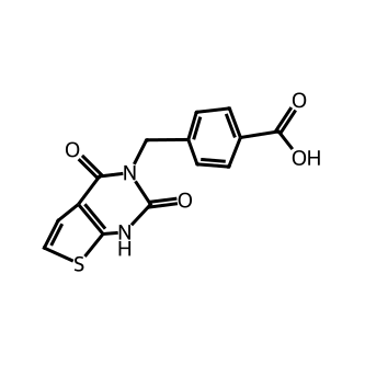 O=C(O)c1ccc(Cn2c(=O)[nH]c3sccc3c2=O)cc1